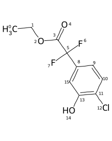 CCOC(=O)C(F)(F)c1ccc(Cl)c(O)c1